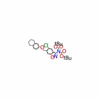 CC(C)(C)OC(=O)N(C(=O)OC(C)(C)C)c1noc2cc(COc3ccc4c(c3)CCCC4)c(Cl)cc12